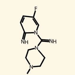 CN1CCN(C(=N)n2cc(F)ccc2=N)CC1